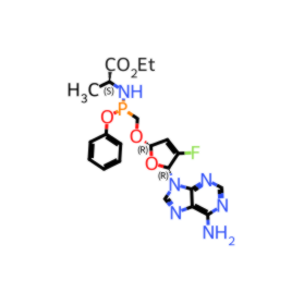 CCOC(=O)[C@H](C)NP(CO[C@@H]1C=C(F)[C@H](n2cnc3c(N)ncnc32)O1)Oc1ccccc1